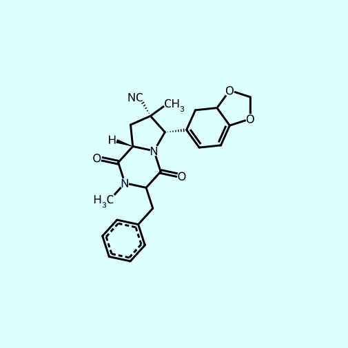 CN1C(=O)[C@@H]2C[C@](C)(C#N)[C@H](C3=CC=C4OCOC4C3)N2C(=O)C1Cc1ccccc1